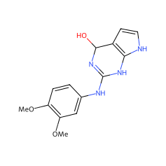 COc1ccc(NC2=NC(O)c3cc[nH]c3N2)cc1OC